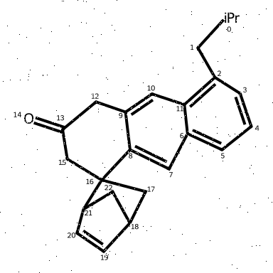 CC(C)Cc1cccc2cc3c(cc12)CC(=O)CC31CC2C=CC1C2